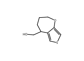 OCC1CCCOc2cscc21